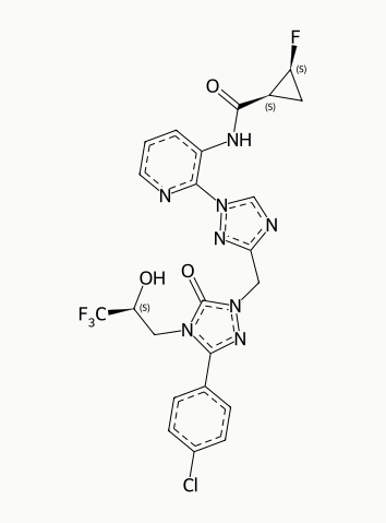 O=C(Nc1cccnc1-n1cnc(Cn2nc(-c3ccc(Cl)cc3)n(C[C@H](O)C(F)(F)F)c2=O)n1)[C@@H]1C[C@@H]1F